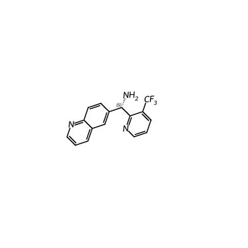 N[C@@H](c1ccc2ncccc2c1)c1ncccc1C(F)(F)F